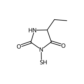 CCC1NC(=O)N(S)C1=O